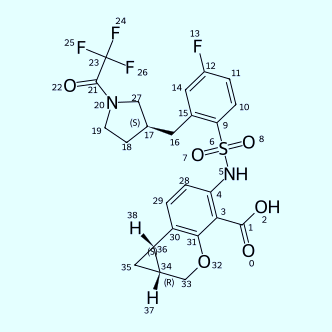 O=C(O)c1c(NS(=O)(=O)c2ccc(F)cc2C[C@H]2CCN(C(=O)C(F)(F)F)C2)ccc2c1OC[C@@H]1C[C@H]21